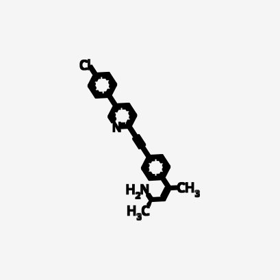 C/C(=C/[C@@H](C)N)c1ccc(C#Cc2ccc(-c3ccc(Cl)cc3)cn2)cc1